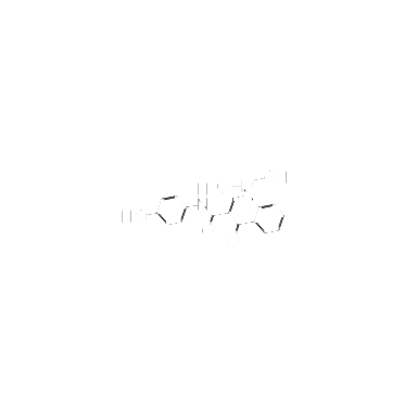 CCn1c(O)c(C(=O)Nc2ccc(O)cc2)c(=O)c2ccccc21